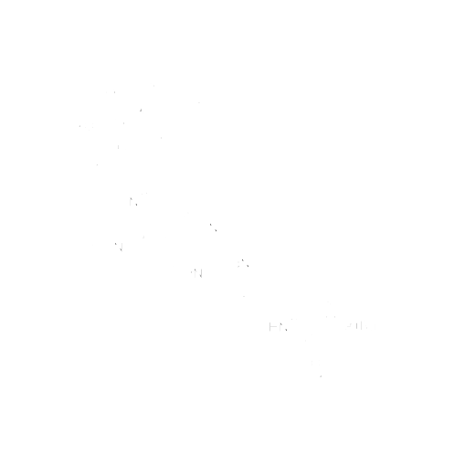 Cc1ccc(S(=O)(=O)OCc2ccnc(-c3cnc(NCCNC(=O)OC(C)(C)C)nc3)n2)cc1